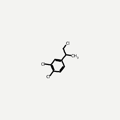 CC(CCl)c1ccc(Cl)c(Cl)c1